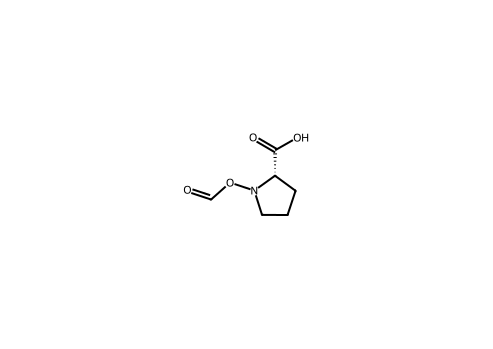 O=CON1CCC[C@H]1C(=O)O